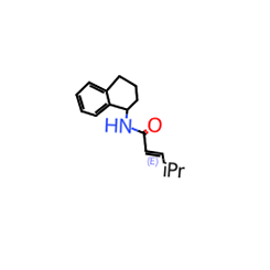 CC(C)/C=C/C(=O)NC1CCCc2ccccc21